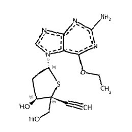 C#C[C@]1(CO)S[C@@H](n2cnc3nc(N)nc(OCC)c32)C[C@@H]1O